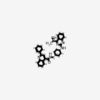 CN(C)c1nc(N[C@H]2CC[C@@H](CNC(=O)c3cc(-c4ccccc4)nc4ccccc34)CC2)nc2ccccc12